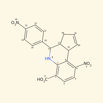 O=C(O)c1ccc([N+](=O)[O-])c2c1NC(c1ccc([N+](=O)[O-])cc1)C1CC=CC21